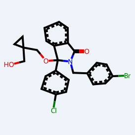 O=C1c2ccccc2C(OCC2(CO)CC2)(c2ccc(Cl)cc2)N1Cc1ccc(Br)cc1